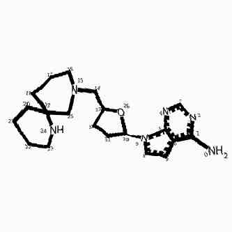 Nc1ncnc2c1ccn2[C@H]1CCC(CN2CCCC3(CCCCN3)C2)O1